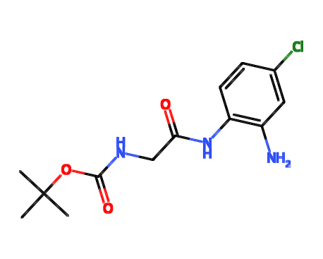 CC(C)(C)OC(=O)NCC(=O)Nc1ccc(Cl)cc1N